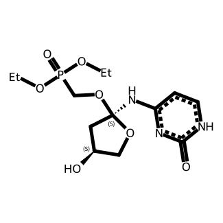 CCOP(=O)(CO[C@]1(Nc2cc[nH]c(=O)n2)C[C@H](O)CO1)OCC